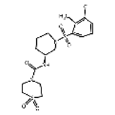 Cc1c(Cl)cccc1S(=O)(=O)N1CCC[C@H](NC(=O)N2CCS(=O)(=O)CC2)C1